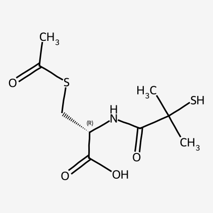 CC(=O)SC[C@H](NC(=O)C(C)(C)S)C(=O)O